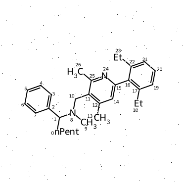 CCCCCC(c1ccccc1)N(C)Cc1c(C)cc(-c2c(CC)cccc2CC)nc1C